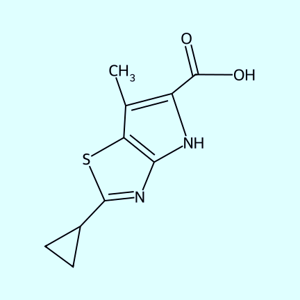 Cc1c(C(=O)O)[nH]c2nc(C3CC3)sc12